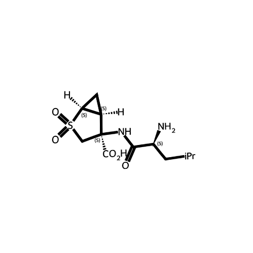 CC(C)C[C@H](N)C(=O)N[C@@]1(C(=O)O)CS(=O)(=O)[C@H]2C[C@H]21